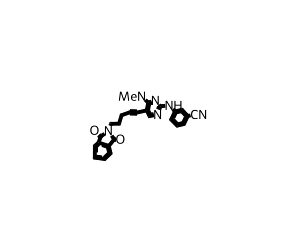 CNc1nc(Nc2cccc(C#N)c2)ncc1C#CCCCN1C(=O)c2ccccc2C1=O